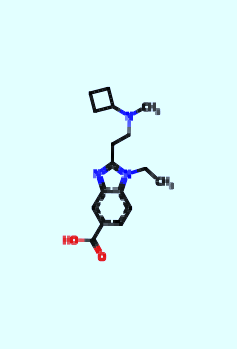 CCn1c(CCN(C)C2CCC2)nc2cc(C(=O)O)ccc21